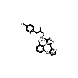 COc1cccc(OC)c1-n1c(NSC(C)Cc2ccc(Cl)cn2)nnc1-c1ccco1